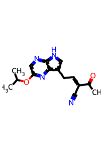 CC(=O)/C(C#N)=C/Cc1c[nH]c2ncc(OC(C)C)nc12